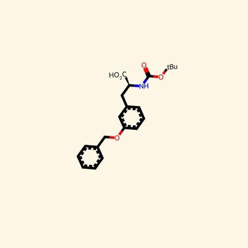 CC(C)(C)OC(=O)N[C@@H](Cc1cccc(OCc2ccccc2)c1)C(=O)O